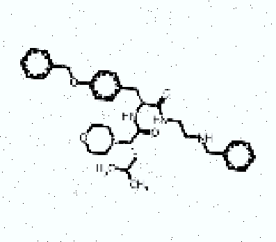 CC(C)C[C@@H](C(=O)N[C@@H](Cc1ccc(OCc2ccccc2)cc1)C(=O)NCCNCc1ccccc1)N1CCOCC1